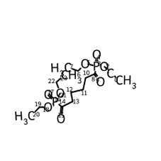 CCOP(=O)(OCC)C(=O)CCCCC(=O)P(=O)(OCC)OCC